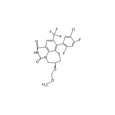 COCO[C@@H]1CSc2c(-c3cc(Cl)c(F)cc3F)c(C(F)(F)F)cc3c(=O)[nH]c(=O)n(c23)C1